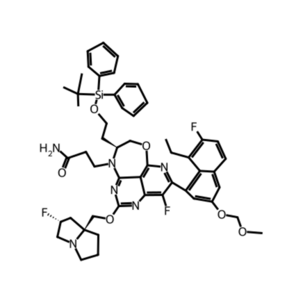 CCc1c(F)ccc2cc(OCOC)cc(-c3nc4c5c(nc(OC[C@@]67CCCN6C[C@H](F)C7)nc5c3F)N(CCC(N)=O)[C@@H](CCO[Si](c3ccccc3)(c3ccccc3)C(C)(C)C)CO4)c12